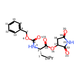 CC(C)C[C@H](NC(=O)OCc1ccccc1)C(=O)OC1CC(=O)NC1=O